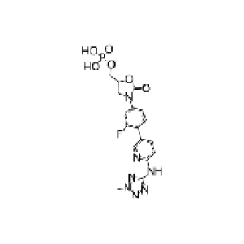 Cn1nnc(Nc2ccc(-c3ccc(N4CC(COP(=O)(O)O)OC4=O)cc3F)cn2)n1